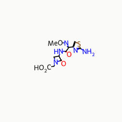 CO/N=C(\C(=O)NC1CN(CC(=O)O)C1=O)c1csc(N)n1